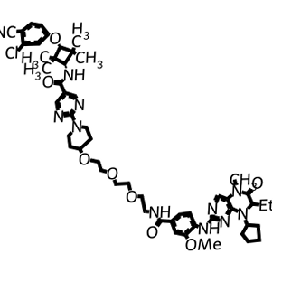 CCC1C(=O)N(C)c2cnc(Nc3ccc(C(=O)NCCOCCOCCOC4CCN(c5ncc(C(=O)N[C@H]6C(C)(C)[C@H](Oc7ccc(C#N)c(Cl)c7)C6(C)C)cn5)CC4)cc3OC)nc2N1C1CCCC1